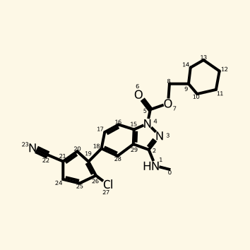 CNc1nn(C(=O)OCC2CCCCC2)c2ccc(-c3cc(C#N)ccc3Cl)cc12